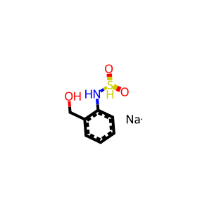 O=[SH](=O)Nc1ccccc1CO.[Na]